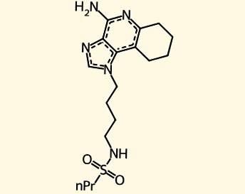 CCCS(=O)(=O)NCCCCn1cnc2c(N)nc3c(c21)CCCC3